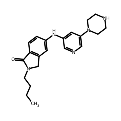 CCCCN1Cc2cc(Nc3cncc(N4CCNCC4)c3)ccc2C1=O